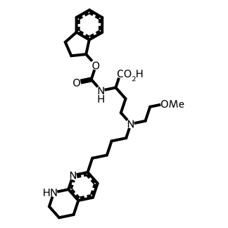 COCCN(CCCCc1ccc2c(n1)NCCC2)CCC(NC(=O)OC1CCc2ccccc21)C(=O)O